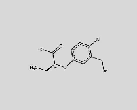 CC[C@H](Oc1ccc(Cl)c(CBr)c1)C(=O)O